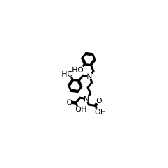 O=C(O)CN(CCCN(Cc1ccccc1O)Cc1ccccc1O)CC(=O)O